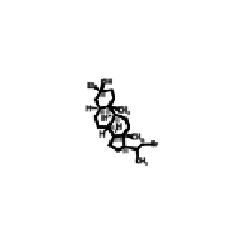 CC[C@@]1(O)CC[C@@]2(C)[C@@H](CC[C@@H]3[C@@H]2CC[C@]2(C)[C@@H](C(C)CBr)CC[C@@H]32)C1